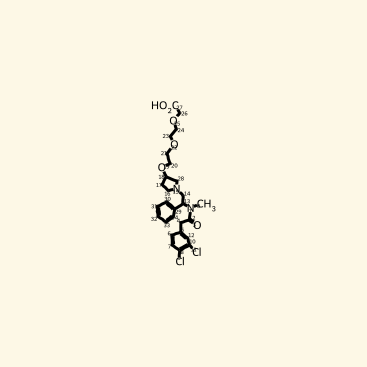 CN(C(=O)Cc1ccc(Cl)c(Cl)c1)C(CN1CCC(OCCOCCOCC(=O)O)C1)c1ccccc1